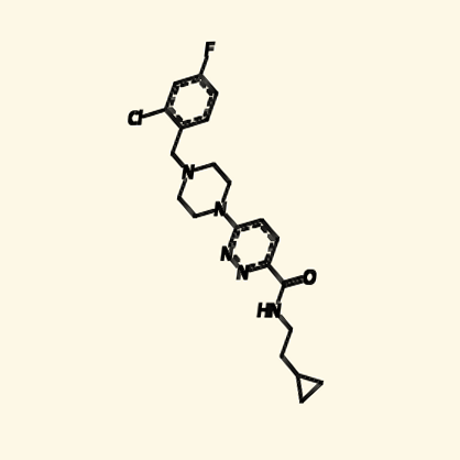 O=C(NCCC1CC1)c1ccc(N2CCN(Cc3ccc(F)cc3Cl)CC2)nn1